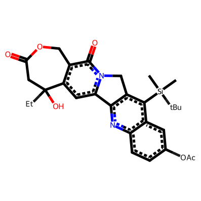 CCC1(O)CC(=O)OCc2c1cc1n(c2=O)Cc2c-1nc1ccc(OC(C)=O)cc1c2[Si](C)(C)C(C)(C)C